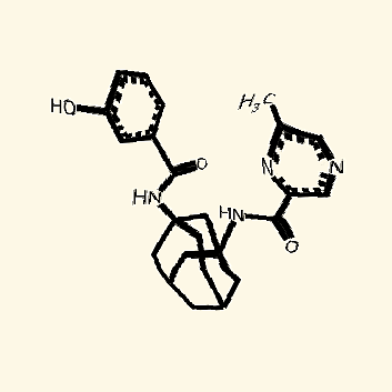 Cc1cncc(C(=O)NC23CC4CC(CC(NC(=O)c5cccc(O)c5)(C4)C2)C3)n1